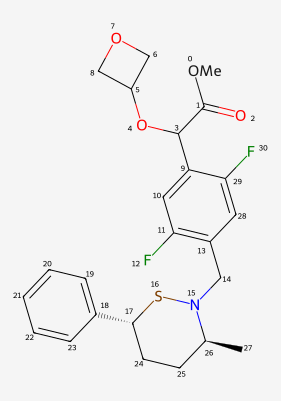 COC(=O)C(OC1COC1)c1cc(F)c(CN2S[C@@H](c3ccccc3)CC[C@@H]2C)cc1F